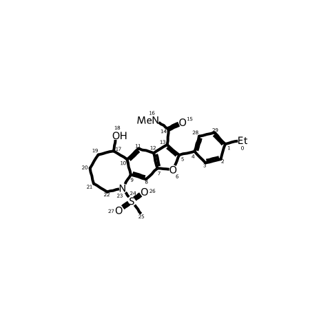 CCc1ccc(-c2oc3cc4c(cc3c2C(=O)NC)C(O)CCCCN4S(C)(=O)=O)cc1